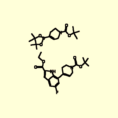 CC(C)(C)OC(=O)N1CC=C(B2OC(C)(C)C(C)(C)O2)CC1.CCOC(=O)c1cc2cc(F)cc(C3=CCN(C(=O)OC(C)(C)C)CC3)c2[nH]1